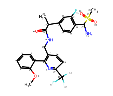 COc1ccccc1-c1nc(C(F)(F)F)ccc1CNC(=O)C(C)c1ccc(C(N)S(C)(=O)=O)c(F)c1